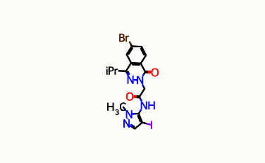 CC(C)c1nn(CC(=O)Nc2c(I)cnn2C)c(=O)c2ccc(Br)cc12